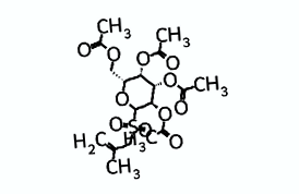 C=C(C)CS(=O)(=O)C1O[C@H](COC(C)=O)[C@H](OC(C)=O)[C@H](OC(C)=O)[C@H]1OC(C)=O